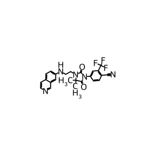 CC1(C)C(=O)N(c2ccc(C#N)c(C(F)(F)F)c2)C(=O)N1CCNc1ccc2ccncc2c1